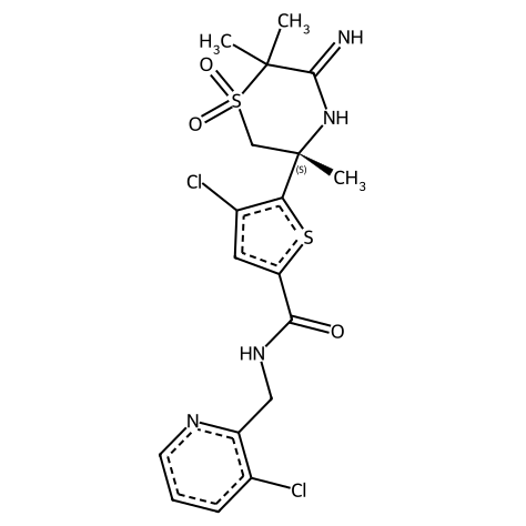 CC1(C)C(=N)N[C@](C)(c2sc(C(=O)NCc3ncccc3Cl)cc2Cl)CS1(=O)=O